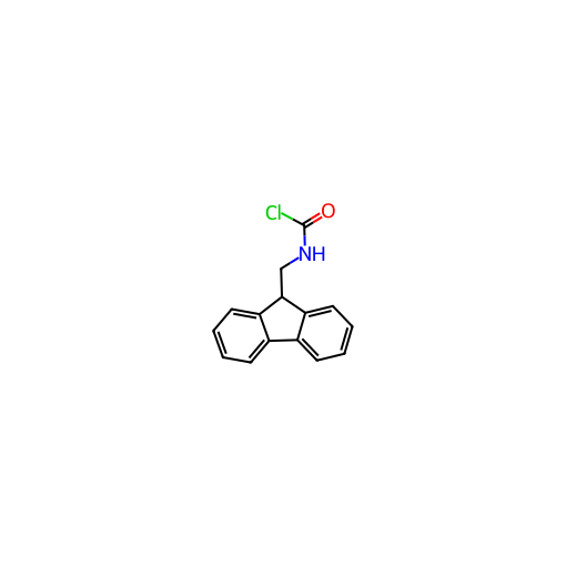 O=C(Cl)NCC1c2ccccc2-c2ccccc21